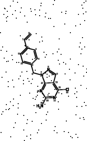 C=Cc1ccc(Cn2ncc3c(Cl)nc(N)nc32)cc1